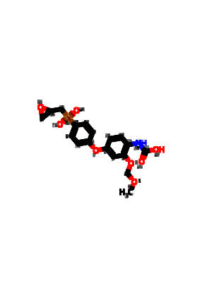 COCOc1cc(Oc2ccc(S(=O)(=O)CC3CO3)cc2)ccc1NC(=O)O